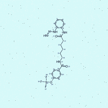 N=NNc1ccccc1NC(=O)CCCCCNC(=O)c1ccc(OC(F)(F)F)cc1